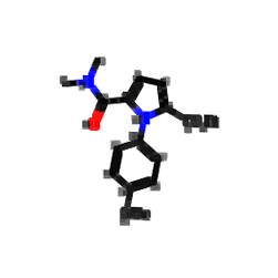 CCOC(=O)c1[c][c]c(C(=O)N(C)C)n1-c1ccc(OC)cc1